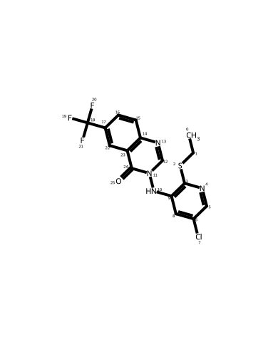 CCSc1ncc(Cl)cc1Nn1cnc2ccc(C(F)(F)F)cc2c1=O